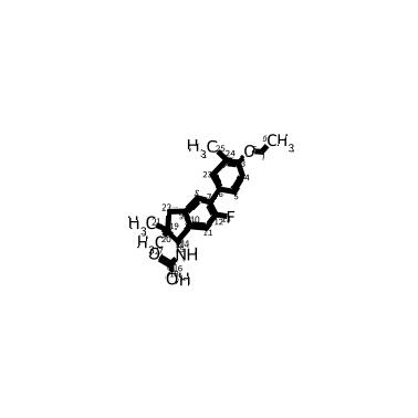 CCOc1ccc(-c2cc3c(cc2F)[C@H](NC(=O)O)C(C)(C)C3)cc1C